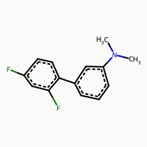 CN(C)c1cccc(-c2ccc(F)cc2F)c1